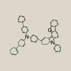 C1=CCCC(C2C=CC(N(c3ccc(C4=Cc5c(n(-c6ccccc6)c6ccc7c8ccccc8oc7c56)CC4)cc3)c3ccc(-c4ccccc4)cc3)=CC2)=C1